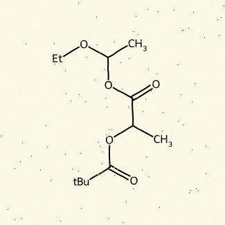 CCOC(C)OC(=O)C(C)OC(=O)C(C)(C)C